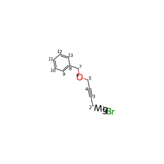 [Br][Mg][CH2]C#CCOCc1ccccc1